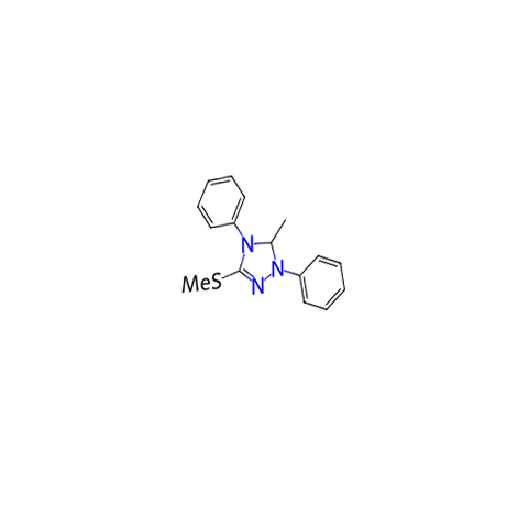 CSC1=NN(c2ccccc2)C(C)N1c1ccccc1